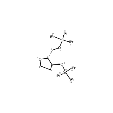 CC(C)[Si](OC[C@H]1OCC[C@@H]1O[Si](C(C)C)(C(C)C)C(C)C)(C(C)C)C(C)C